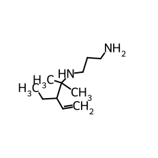 C=CC(CC)C(C)(C)NCCCN